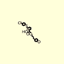 COc1ccc(CCCCOC=C(C(=O)O)c2cccc(CSc3ccc(Cl)cc3)n2)cc1